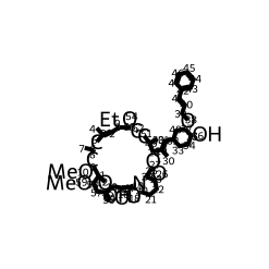 CCC1/C=C(\C)CC(C)CC(OC)C2OC(O)(C(=O)C(=O)N3CCCCC3C(=O)OC(C(C)=CC3CCC(O)C(OCC=Cc4ccccc4)C3)C(C)CCC1=O)C(C)CC2OC